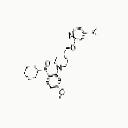 COc1ccc(C(=O)C2CCCCC2)c(N2CCC(COc3cc([C]4CC4)ccn3)CC2)c1